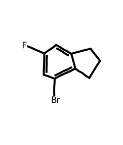 Fc1cc(Br)c2c(c1)CCC2